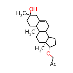 CC(=O)CO[C@H]1CCC2C3CC=C4C[C@@](C)(O)CC[C@]4(C)C3CC[C@@]21C